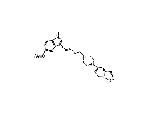 COc1ccc2[nH]cc(CCCCN3CCN(c4ccc5occc5c4)CC3)c2c1